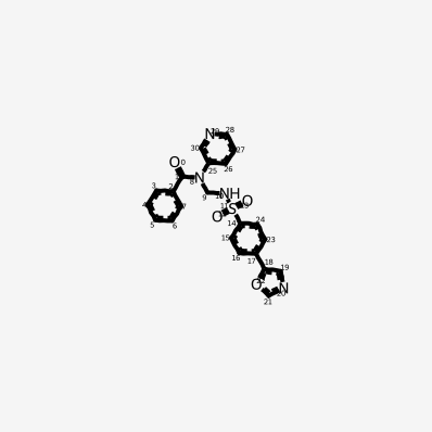 O=C(c1ccccc1)N(CNS(=O)(=O)c1ccc(-c2cnco2)cc1)c1cccnc1